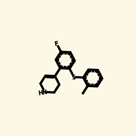 Cc1ccccc1Sc1ccc(F)cc1C1=CCNCC1